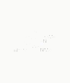 CCCOc1ccc2cccc(/C(=N\OC)C(=O)NC)c2c1